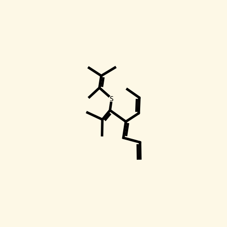 C=C/C=C(\C=C/C)C(SC(C)=C(C)C)=C(C)C